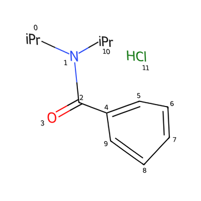 CC(C)N(C(=O)c1ccccc1)C(C)C.Cl